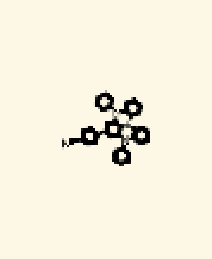 N#Cc1ccc(-c2cc3c4c(c2)N(c2ccccc2)c2ccccc2B4c2ccccc2N3c2ccccc2)cc1